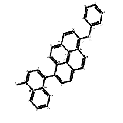 Cc1ccc(-c2ccc3ccc4c(Oc5ccccc5)ccc5ccc2c3c54)c2ccccc12